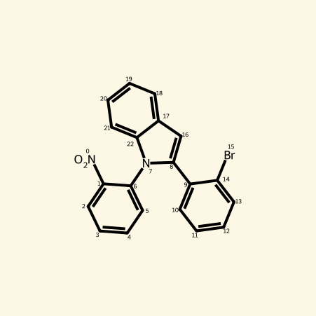 O=[N+]([O-])c1ccccc1-n1c(-c2ccccc2Br)cc2ccccc21